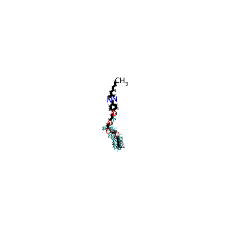 CCCCCCc1cnc(-c2ccc(OC[C@H](F)COCC(F)(F)OC(F)(F)C(F)(F)OC(F)(F)C(F)(F)C(F)(F)C(F)(F)F)cc2)nc1